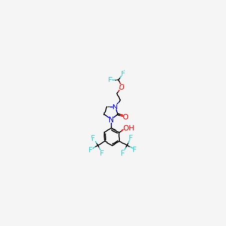 O=C1N(CCOC(F)F)CCN1c1cc(C(F)(F)F)cc(C(F)(F)F)c1O